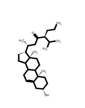 CCC[C@H](C(=O)C[C@@H](C)[C@H]1CCC2C3CC=C4C[C@@H](O)CC[C@]4(C)C3CC[C@@]21C)C(C)C